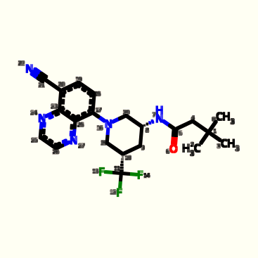 CC(C)(C)CC(=O)N[C@@H]1C[C@H](C(F)(F)F)CN(c2ccc(C#N)c3nccnc23)C1